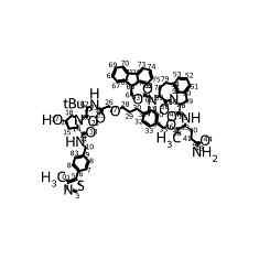 Cc1ncsc1-c1ccc(CNC(=O)[C@@H]2C[C@@H](O)CN2C(=O)[C@@H](NC(=O)COCCCc2ccc(CO[C@H](C)[C@H](CCC(N)=O)NC(=O)[C@@H]3Cc4cccc5c4N3C(=O)[C@@H](NC(=O)OCC3c4ccccc4-c4ccccc43)CC5)cc2)C(C)(C)C)cc1